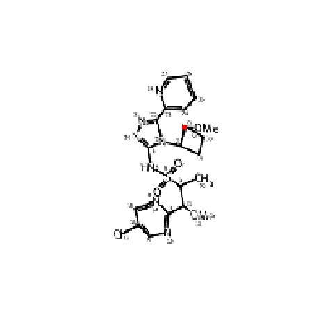 COCC1(n2c(NS(=O)(=O)C(C)C(OC)c3ncc(Cl)cn3)nnc2-c2ccccn2)CCC1